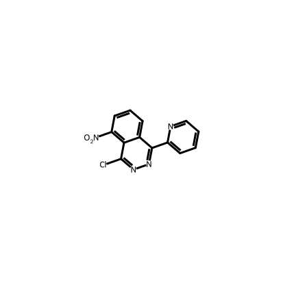 O=[N+]([O-])c1cccc2c(-c3ccccn3)nnc(Cl)c12